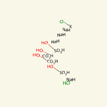 Cl.O=C(O)O.O=C(O)O.O=S(=O)(O)O.O=S(=O)(O)O.[Cl][K].[NaH].[NaH].[NaH].[NaH]